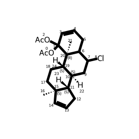 CC(=O)OC1(OC(C)=O)C=CCC2C(Cl)C[C@H]3[C@@H]4CC=C[C@@]4(C)CC[C@@H]3[C@]21C